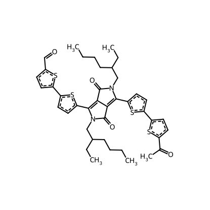 CCCCC(CC)CN1C(=O)C2=C(c3ccc(-c4ccc(C(C)=O)s4)s3)N(CC(CC)CCCC)C(=O)C2=C1c1ccc(-c2ccc(C=O)s2)s1